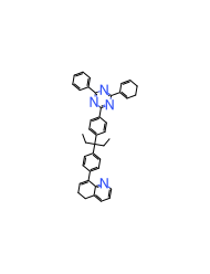 CCC(CC)(c1ccc(C2=CCCc3cccnc32)cc1)c1ccc(-c2nc(C3=CCCC=C3)nc(-c3ccccc3)n2)cc1